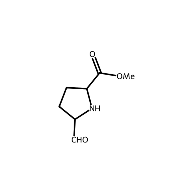 COC(=O)C1CCC(C=O)N1